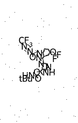 CC(C)(C)NC(=O)Oc1c[nH]c2ncc(-c3nn(CC(=O)N4CCN(CC(F)(F)F)CC4)c4ccc(OC(F)F)cc34)nc12